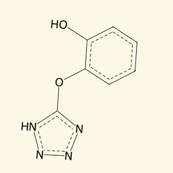 Oc1ccccc1Oc1nnn[nH]1